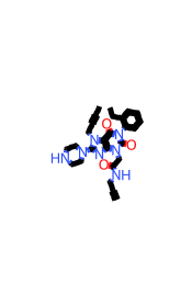 C#CCNC(=O)Cn1c(=O)n(-c2ccccc2CC)c(=O)c2c1nc(N1CCNCC1)n2CC#CC